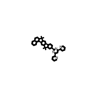 CC1(C)c2cc(-c3nc(-c4ccccn4)cc(-c4ccccn4)n3)ccc2-c2cc3c(cc21)-c1c(ccc2ccccc12)C3(C)C